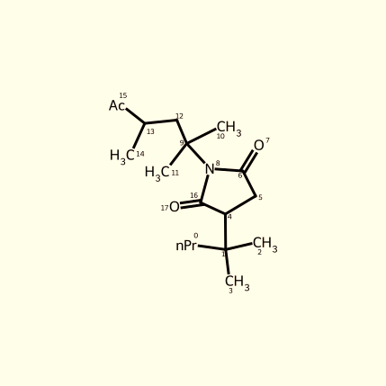 CCCC(C)(C)C1CC(=O)N(C(C)(C)CC(C)C(C)=O)C1=O